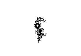 CCCOc1cnn(-c2ccc(OPP)cc2)c(=O)c1Br